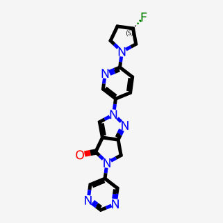 O=C1c2cn(-c3ccc(N4CC[C@H](F)C4)nc3)nc2CN1c1cncnc1